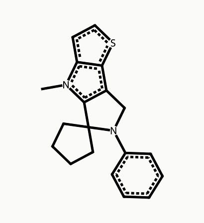 Cn1c2c(c3sccc31)CN(c1ccccc1)C21CCCC1